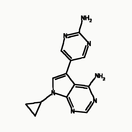 Nc1ncc(-c2cn(C3CC3)c3ncnc(N)c23)cn1